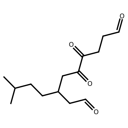 CC(C)CCC(CC=O)CC(=O)C(=O)CCC=O